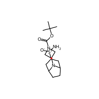 CC(C)(C)OC(=O)N1CC(N2C3CCC2CC([S+](N)[O-])C3)C1